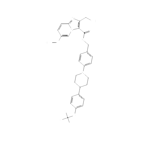 CCc1nc2ccc(OC)cn2c1C(=O)NCc1ccc(N2CCC(c3ccc(OC(F)(F)P)cc3)CC2)cc1